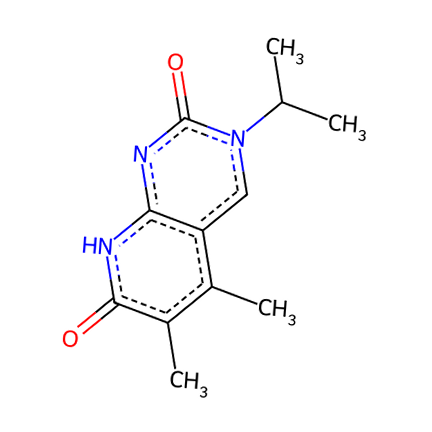 Cc1c(C)c2cn(C(C)C)c(=O)nc2[nH]c1=O